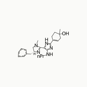 CCCNc1nc(C2=CCC(C)(O)CC2)[nH]c1C1=N[C@H](Cc2ccccc2)CN1C